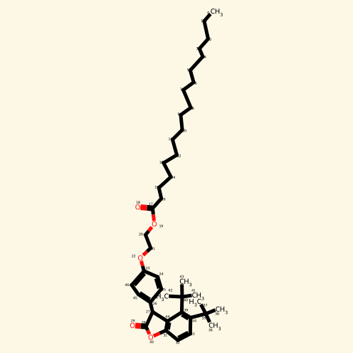 CCCCCCCCCCCCCCCCCC(=O)OCCOc1ccc(C2C(=O)Oc3ccc(C(C)(C)C)c(C(C)(C)C)c32)cc1